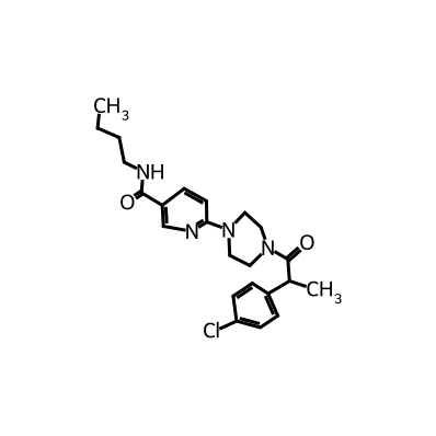 CCCCNC(=O)c1ccc(N2CCN(C(=O)C(C)c3ccc(Cl)cc3)CC2)nc1